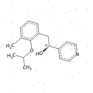 Cc1cccc(C[C@H](O)c2ccncc2)c1OC(C)C